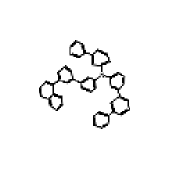 c1ccc(-c2cccc(-c3cccc(N(c4cccc(-c5ccccc5)c4)c4cccc(-c5cccc(-c6cccc7ccccc67)c5)c4)c3)c2)cc1